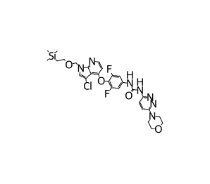 C[Si](C)(C)CCOCn1cc(Cl)c2c(Oc3c(F)cc(NC(=O)Nc4ccc(N5CCOCC5)nn4)cc3F)ccnc21